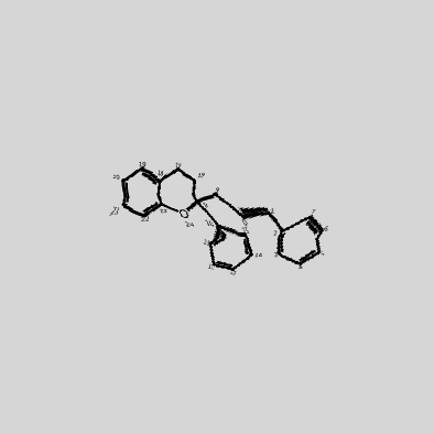 C(=Cc1ccccc1)CC1(c2ccccc2)CCc2ccccc2O1